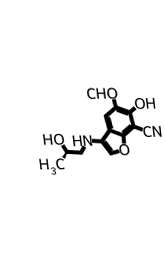 C[C@@H](O)CNc1coc2c(C#N)c(O)c(C=O)cc12